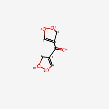 O=C(C1=COOC1)C1=COOC1